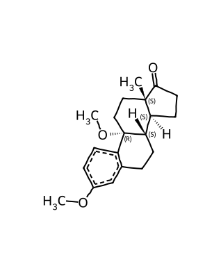 COc1ccc2c(c1)CC[C@H]1[C@@H]3CCC(=O)[C@@]3(C)CC[C@]21OC